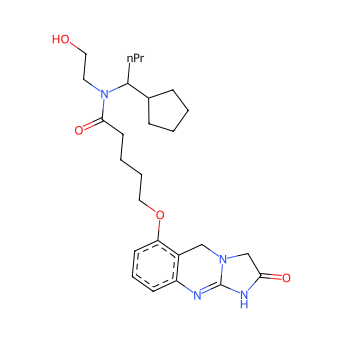 CCCC(C1CCCC1)N(CCO)C(=O)CCCCOc1cccc2c1CN1CC(=O)NC1=N2